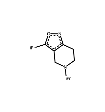 CC(C)c1onc2c1CN(C(C)C)CC2